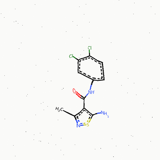 Cc1nsc(N)c1C(=O)Nc1ccc(Cl)c(Cl)c1